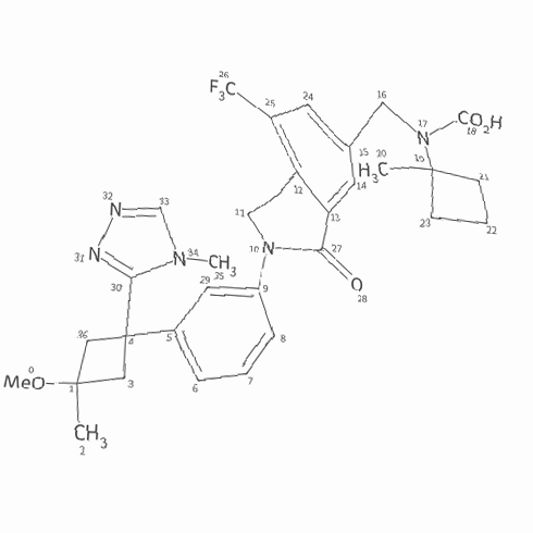 COC1(C)CC(c2cccc(N3Cc4c(cc(CN(C(=O)O)C5(C)CCC5)cc4C(F)(F)F)C3=O)c2)(c2nncn2C)C1